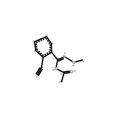 C#Cc1ccccc1C(=NOC)OC(C)=O